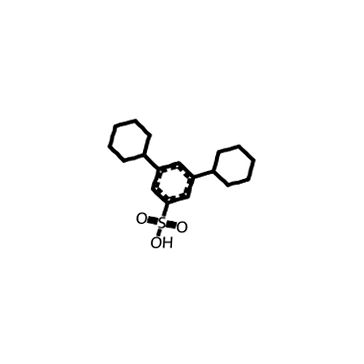 O=S(=O)(O)c1cc(C2CCCCC2)cc(C2CCCCC2)c1